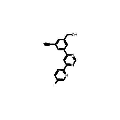 N#Cc1cc(CO)cc(-c2cc(-c3ccc(F)cn3)ncn2)c1